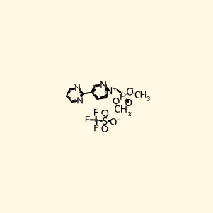 COP(=O)(C[n+]1ccc(-c2ncccn2)cn1)OC.O=S(=O)([O-])C(F)(F)F